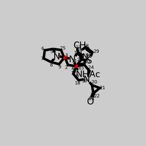 CC(=O)N[C@@H](CCN1C2CCC1CC(n1c(C)nc3c1CCN(C1CC1=O)C3)C2)c1nccs1